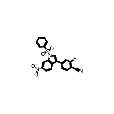 N#Cc1ccc(-c2cn(S(=O)(=O)c3ccccc3)c3cc([N+](=O)[O-])ccc23)cc1F